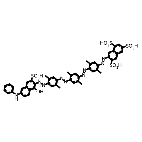 Cc1cc(N=Nc2cc(C)c(/N=N/c3c(S(=O)(=O)O)cc4cc(Nc5ccccc5)ccc4c3O)cc2C)c(C)cc1N=Nc1cc(C)c(N=Nc2cc3c(S(=O)(=O)O)cc(S(=O)(=O)O)cc3cc2S(=O)(=O)O)cc1C